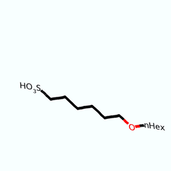 CCCCCCOCCCCCCS(=O)(=O)O